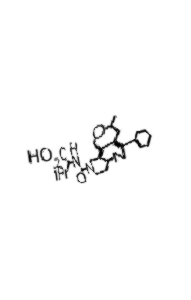 CC1Cc2c(-c3ccccc3)nc3c(c2CO1)CN(C(=O)NC(C(=O)O)C(C)C)CC3